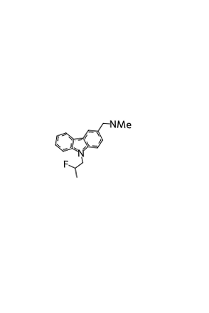 CNCc1ccc2c(c1)c1ccccc1n2CC(C)F